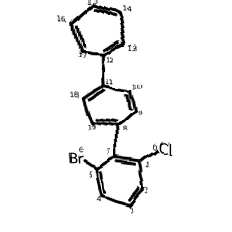 Clc1cccc(Br)c1-c1ccc(-c2ccccc2)cc1